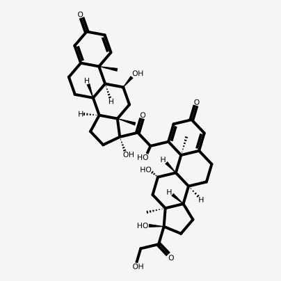 C[C@@]12C(=CC(=O)C=C1C(O)C(=O)[C@@]1(O)CC[C@H]3[C@@H]4CCC5=CC(=O)C=C[C@]5(C)[C@H]4[C@@H](O)C[C@@]31C)CC[C@@H]1[C@@H]2[C@@H](O)C[C@@]2(C)[C@H]1CC[C@]2(O)C(=O)CO